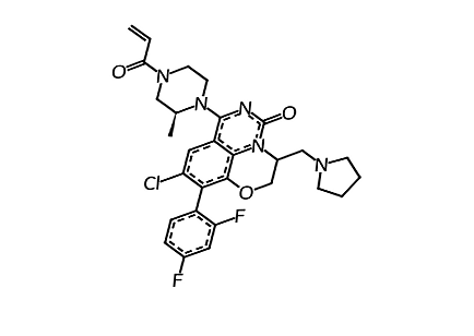 C=CC(=O)N1CCN(c2nc(=O)n3c4c(c(-c5ccc(F)cc5F)c(Cl)cc24)OCC3CN2CCCC2)[C@@H](C)C1